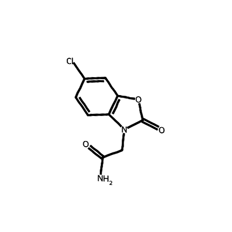 NC(=O)Cn1c(=O)oc2cc(Cl)ccc21